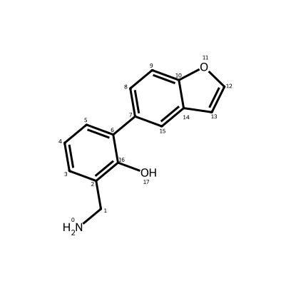 NCc1cccc(-c2ccc3occc3c2)c1O